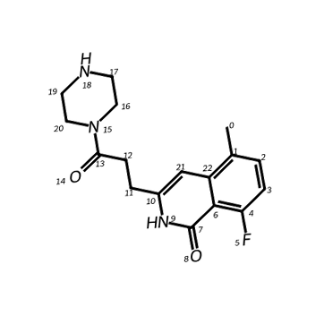 Cc1ccc(F)c2c(=O)[nH]c(CCC(=O)N3CCNCC3)cc12